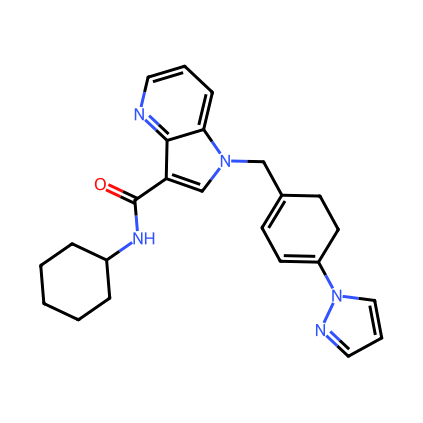 O=C(NC1CCCCC1)c1cn(CC2=CC=C(n3cccn3)CC2)c2cccnc12